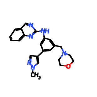 Cn1cc(-c2cc(CN3CCOCC3)cc(Nc3ncc4ccccc4n3)c2)cn1